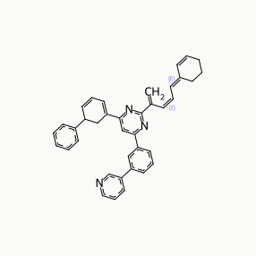 C=C(/C=C\C=C1\C=CCCC1)c1nc(C2=CC=CC(c3ccccc3)C2)cc(-c2cccc(-c3cccnc3)c2)n1